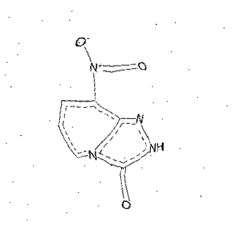 O=c1[nH]nc2c([N+](=O)[O-])cccn12